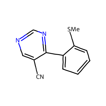 CSc1ccccc1-c1ncncc1C#N